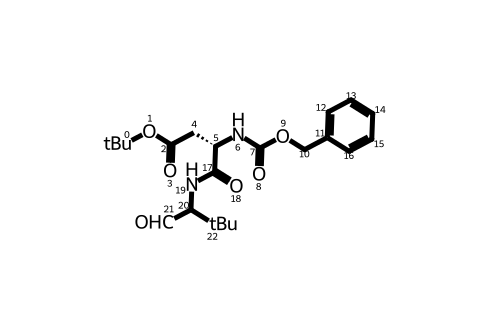 CC(C)(C)OC(=O)C[C@H](NC(=O)OCc1ccccc1)C(=O)NC(C=O)C(C)(C)C